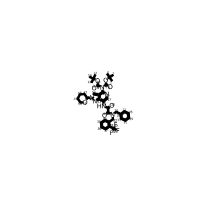 CC(C)(C)OC(=O)N(C(=O)OC(C)(C)C)c1ncc(NC(=O)C(=O)N(Cc2ccccc2)Cc2ccccc2C(F)(F)F)c2nn(C3CCCCO3)cc12